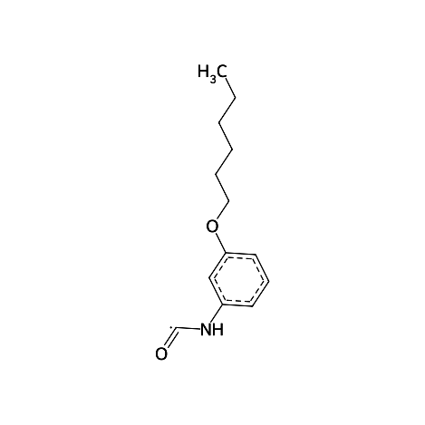 CCCCCCOc1cccc(N[C]=O)c1